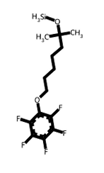 CC(C)(CCCCCOc1c(F)c(F)c(F)c(F)c1F)O[SiH3]